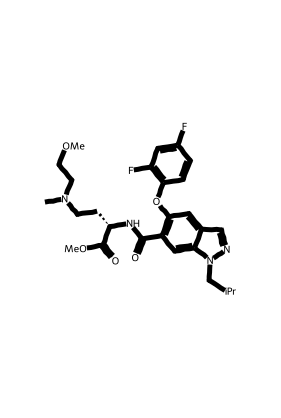 COCCN(C)CC[C@H](NC(=O)c1cc2c(cnn2CC(C)C)cc1Oc1ccc(F)cc1F)C(=O)OC